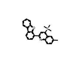 Cc1ccc2nc(-c3cccc4c3oc3ccccc34)cc(S(C)(C)C)c2c1